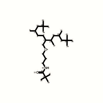 CC(CCC(COCCCNC(=O)C(C)(C)C)C(C)CC(C)CC(C)(C)C)CC(C)(C)C